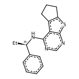 CC[C@@H](Nc1ncnc2sc3c(c12)CCC3)c1ccccc1